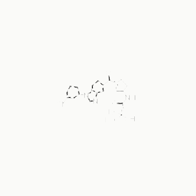 CC(C)(C)OC(=O)NC1CCN(C(=O)c2ccc3c(c2)ncn3-c2cccc(Cl)c2)C1